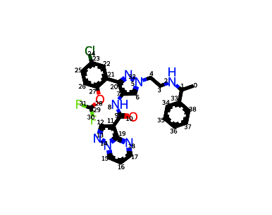 CC(NCCn1cc(NC(=O)c2cnn3cccnc23)c(-c2cc(Cl)ccc2OC(F)F)n1)c1ccccc1